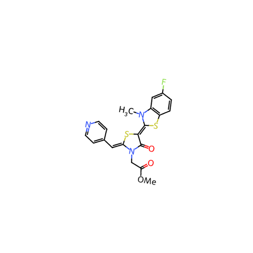 COC(=O)Cn1c(=O)/c(=C2\Sc3ccc(F)cc3N2C)s/c1=C\c1ccncc1